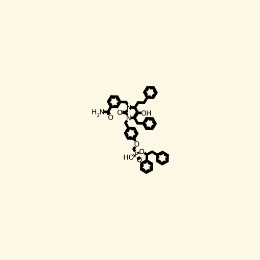 NC(=O)c1cccc(CN2C(=O)N(Cc3ccc(OCP(=O)(O)OC(Cc4ccccc4)c4ccccc4)cc3)C(Cc3ccccc3)=C(O)C2CCc2ccccc2)c1